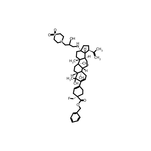 C=C(C)[C@@H]1CC[C@]2(NCC(O)CN3CCS(=O)(=O)CC3)CC[C@]3(C)[C@H](CC[C@@H]4[C@@]5(C)CC=C(C6=CC[C@](CF)(C(=O)OCc7ccccc7)CC6)C(C)(C)[C@@H]5CC[C@]43C)[C@@H]12